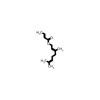 C/C=C/C(=O)OC/C=C(\C)CCC=C(C)C